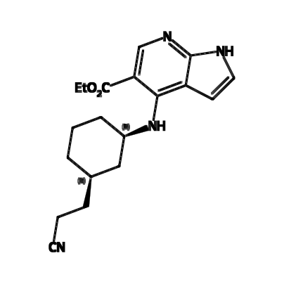 CCOC(=O)c1cnc2[nH]ccc2c1N[C@@H]1CCC[C@H](CCC#N)C1